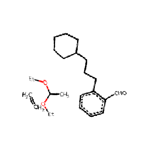 C=C.CCOC(C)OCC.O=Cc1ccccc1CCCC1CCCCC1